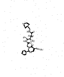 CC(=O)Nc1cnc(-c2ccccc2)n(CC(=O)NC(C(C)C)C(O)C(F)(F)C(=O)NCc2ccncc2)c1=O